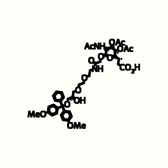 COc1ccc(C(OC[C@@H](O)COCCOCCNC(=O)CO[C@@H]2O[C@H]([CH]CC(=O)O)[C@@H](OC(C)=O)[C@H](OC(C)=O)[C@H]2NC(C)=O)(c2ccccc2)c2ccc(OC)cc2)cc1